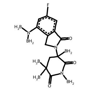 BN1C(=O)C(B)(B)CC(B)(N2Cc3c(cc(F)cc3N(B)B)C2=O)C1=O